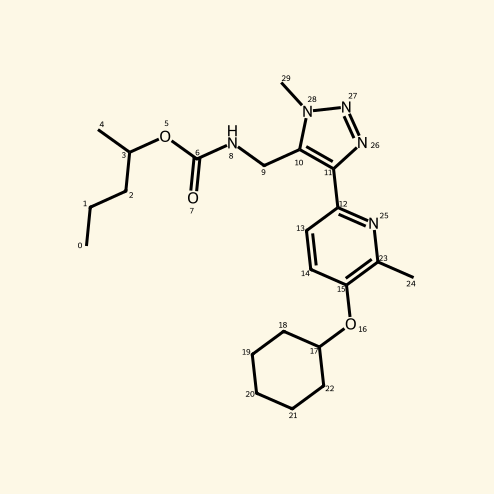 CCCC(C)OC(=O)NCc1c(-c2ccc(OC3CCCCC3)c(C)n2)nnn1C